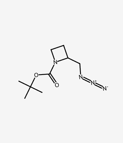 CC(C)(C)OC(=O)N1CCC1CN=[N+]=[N-]